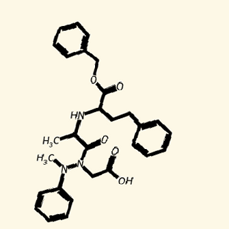 CC(NC(CCc1ccccc1)C(=O)OCc1ccccc1)C(=O)N(CC(=O)O)N(C)c1ccccc1